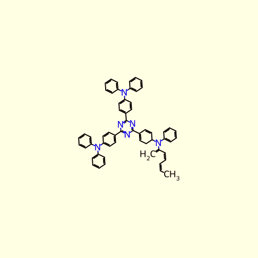 C=C(/C=C\C=C/C)N(c1ccccc1)C1C=CC(c2nc(-c3ccc(N(c4ccccc4)c4ccccc4)cc3)nc(-c3ccc(N(c4ccccc4)c4ccccc4)cc3)n2)=CC1